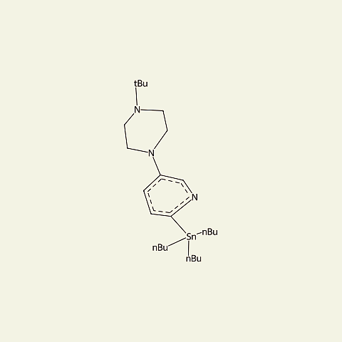 CCC[CH2][Sn]([CH2]CCC)([CH2]CCC)[c]1ccc(N2CCN(C(C)(C)C)CC2)cn1